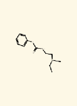 CCN(C)CCNC(=O)Oc1ccccc1